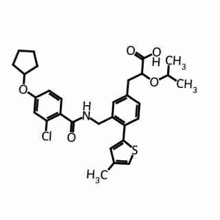 Cc1csc(-c2ccc(CC(OC(C)C)C(=O)O)cc2CNC(=O)c2ccc(OC3CCCC3)cc2Cl)c1